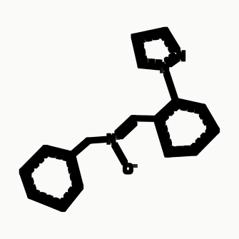 [O-]/[N+](=C\c1ccccc1-n1cccn1)Cc1ccccc1